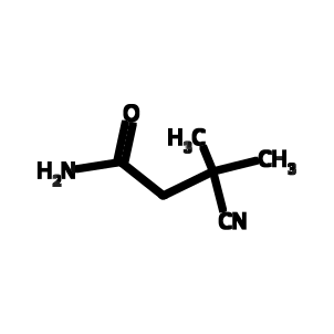 CC(C)(C#N)CC(N)=O